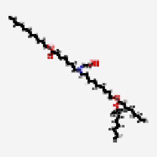 CCCCCCCCCCCOC(=O)CCCCCCN(CCO)CCCCCCCCCOC(CCCCCCC)O[Si](C)(C)CCCCCC